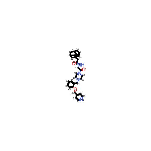 O=C(CC12CC3CC(CC(C3)C1)C2)NCC(=O)N1CCN(Cc2ccccc2OCc2ccncc2)CC1